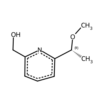 CO[C@H](C)c1cccc(CO)n1